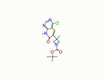 Cn1c(=O)c(C2(C)CN(C(=O)OC(C)(C)C)C2)cc2c(Cl)ncnc21